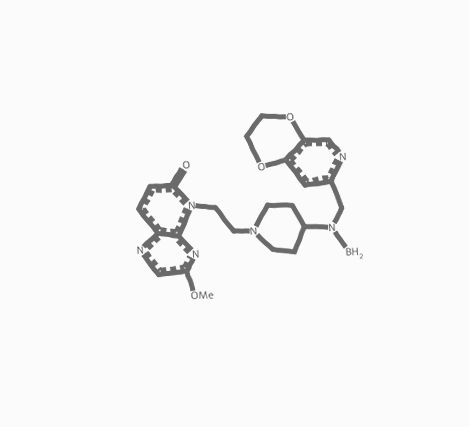 BN(Cc1cc2c(cn1)OCCO2)C1CCN(CCn2c(=O)ccc3ncc(OC)nc32)CC1